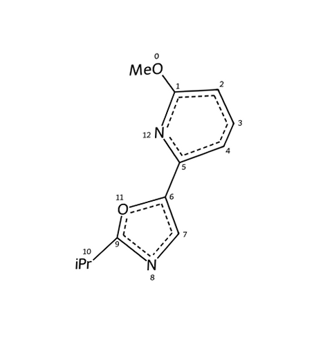 COc1cccc(-c2cnc(C(C)C)o2)n1